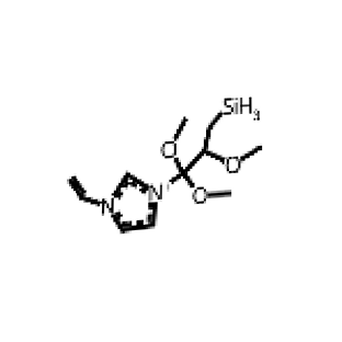 C=Cn1cc[n+](C(OC)(OC)C(C[SiH3])OC)c1